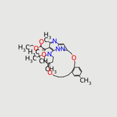 CCOC(=O)[C@@H](OC(C)(C)C)c1c(C)nc2cc3nn2c1N1CCC(C)(CC1)OCCCCc1cc(C)ccc1COC3